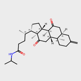 C=C1CC[C@]2(C)[C@H](C1)CC(=O)[C@H]1[C@H]2CC(=O)[C@]2(C)[C@@H]1CC[C@H]2[C@@H](C)CCC(=O)NC(C)C